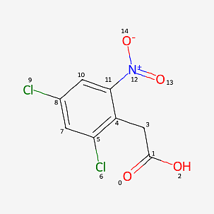 O=C(O)Cc1c(Cl)cc(Cl)cc1[N+](=O)[O-]